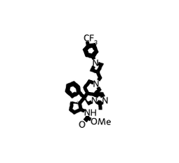 COC(=O)NC1CCC[C@H]1[C@](Cn1ccnc1C)(c1ccccc1)C1CCN(CC2CN(c3ccc(C(F)(F)F)cc3)C2)CC1